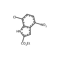 CCOC(=O)c1cc2c([N+](=O)[O-])ccc(Cl)c2[nH]1